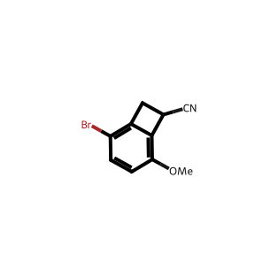 COc1ccc(Br)c2c1C(C#N)C2